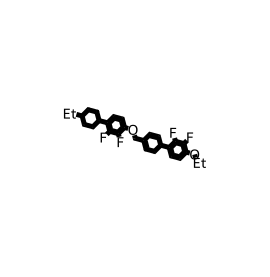 CCOc1ccc(C2C=CC(COc3ccc(C4CCC(CC)CC4)c(F)c3F)=CC2)c(F)c1F